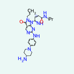 C=CCn1c(=O)c2cnc(Nc3ccc(N4CCC(N)CC4)cc3)nc2n1C(=N)/C=C\C(=O)NC(C)C